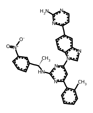 Cc1ccccc1-c1cc(-n2cnc3cc(-c4ccnc(N)n4)ccc32)nc(N[C@@H](C)c2cccc([N+](=O)[O-])c2)n1